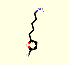 CCc1ccc(CCCCCN)o1